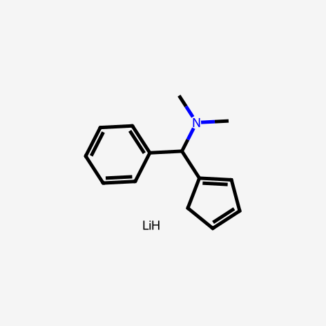 CN(C)C(C1=CC=CC1)c1ccccc1.[LiH]